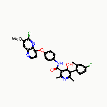 COc1cc2nccc(Oc3ccc(NC(=O)c4c(C)nc(C)c(-c5ccc(F)cc5C)c4O)cc3)c2nc1Cl